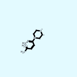 C=C(C)/C=C\C(=N/C)N1CCOCC1